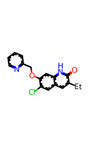 CCc1cc2cc(Cl)c(OCc3ccccn3)cc2[nH]c1=O